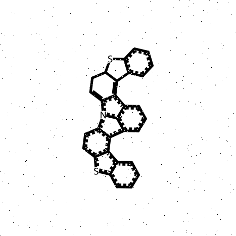 C1=c2c(c3cccc4c5c6c(ccc5n2c34)sc2ccccc26)=C2c3ccccc3SC2C1